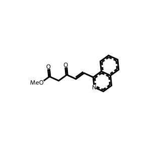 COC(=O)CC(=O)C=Cc1nccc2ccccc12